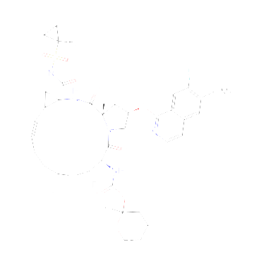 CC[C@@H]1C[C@H](C)CC/C=C\C2C[C@@]2(C(=O)NS(=O)(=O)C2(C)CC2)NC(=O)[C@@H]2C[C@@H](Oc3nccc4cc(OC)c(F)cc34)CN2C(=O)[C@H]1NC(=O)OC1(C(F)(F)F)CCCCO1